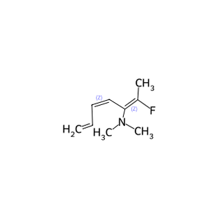 C=C/C=C\C(=C(/C)F)N(C)C